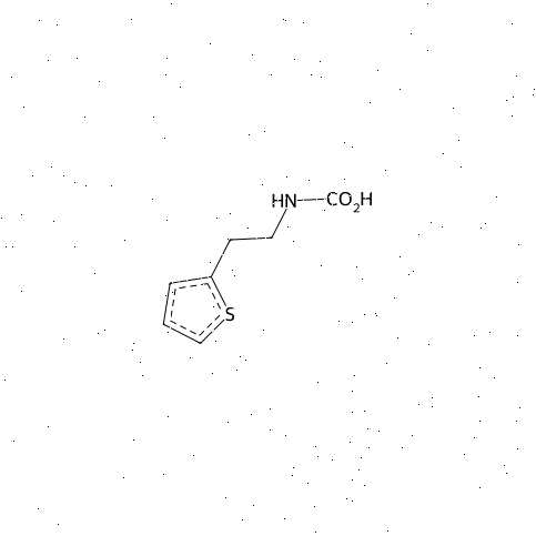 O=C(O)NCCc1cccs1